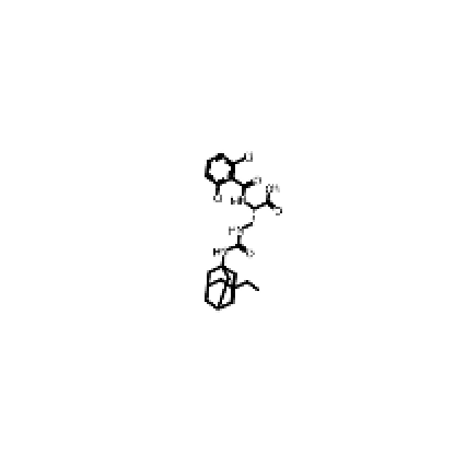 CCC12CC3CC(C1)CC(NC(=O)NC[C@H](NC(=O)c1c(Cl)cccc1Cl)C(=O)O)(C3)C2